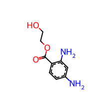 Nc1ccc(C(=O)OCCO)c(N)c1